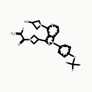 C=C(F)C(=O)N1CC(c2nn(-c3ccc(OC(F)(F)F)cc3)c3ccnc(N4CC(O)C4)c23)C1